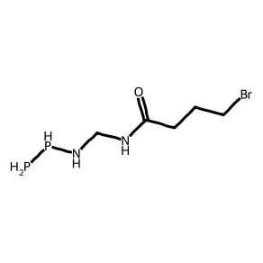 O=C(CCCBr)NCNPP